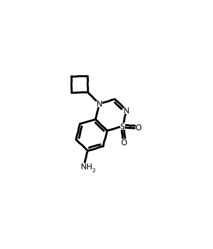 Nc1ccc2c(c1)S(=O)(=O)N=CN2C1CCC1